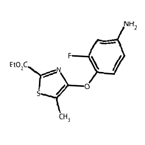 CCOC(=O)c1nc(Oc2ccc(N)cc2F)c(C)s1